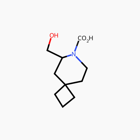 O=C(O)N1CCC2(CCC2)CC1CO